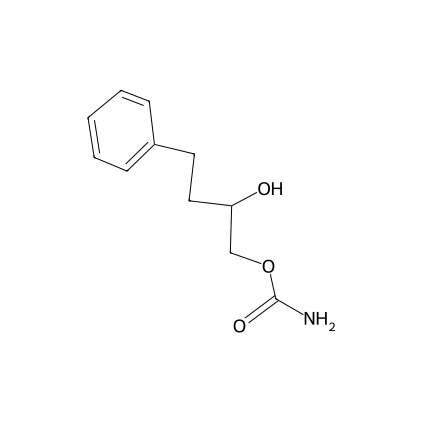 NC(=O)OCC(O)CCc1ccccc1